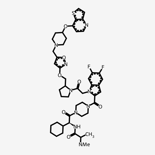 CNC(C)C(=O)N[C@H](C(=O)N1CCN(C(=O)c2cc3cc(F)c(F)cc3n2CC(=O)N2CCCC2COc2cc(CN3CCC(Oc4ccnc5ccsc45)CC3)on2)CC1)C1CCCCC1